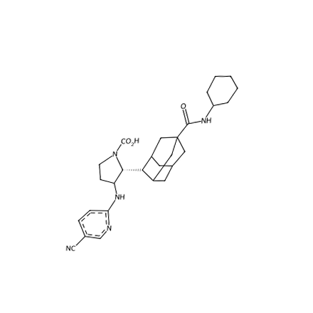 N#Cc1ccc(NC2CCN(C(=O)O)[C@@H]2C2C3CC4CC2CC(C(=O)NC2CCCCC2)(C4)C3)nc1